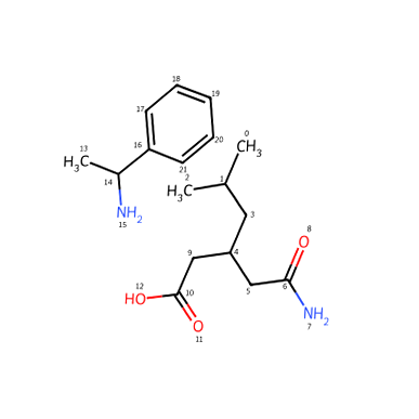 CC(C)CC(CC(N)=O)CC(=O)O.CC(N)c1ccccc1